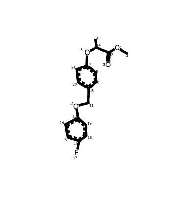 COC(=O)C(C)Oc1ccc(COc2ccc(F)cc2)cc1